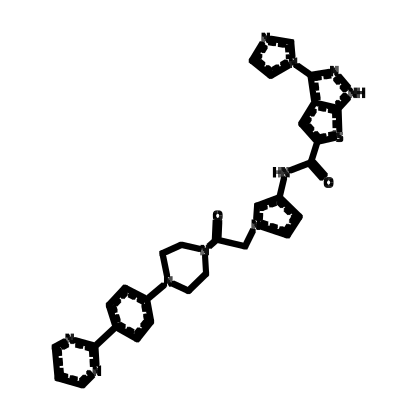 O=C(Nc1ccn(CC(=O)N2CCN(c3ccc(-c4ncccn4)cc3)CC2)c1)c1cc2c(-n3ccnc3)n[nH]c2s1